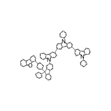 c1ccc(-n2c3ccccc3c3cc(-c4ccc5c(c4)c4cc(-c6ccc7c(c6)c6ccccc6n7-c6ccc7c(c6)C(c6ccccc6)(c6ccc(-c8cccc9c8oc8ccccc89)cc6)c6ccccc6-7)ccc4n5-c4ccccc4)ccc32)cc1